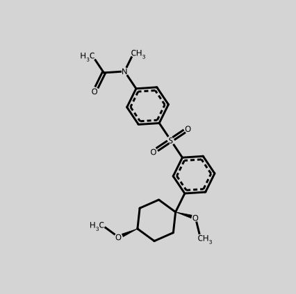 CO[C@H]1CC[C@](OC)(c2cccc(S(=O)(=O)c3ccc(N(C)C(C)=O)cc3)c2)CC1